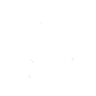 Cc1ccc(C(C)C)cc2c(/C=N\OC(C)(C)C)cc(C(=O)O)c1-2